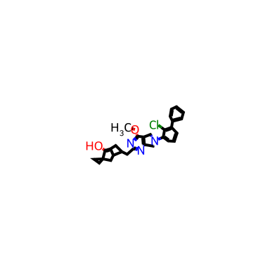 COc1nc(CC2CC3=C(O)C4(CC4)CC32)nc2c1CN(c1cccc(-c3ccccc3)c1Cl)C2